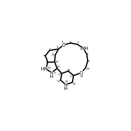 C1CNCCOC2CCC3NNC(C4CNCC(C4)OC1)C3C2